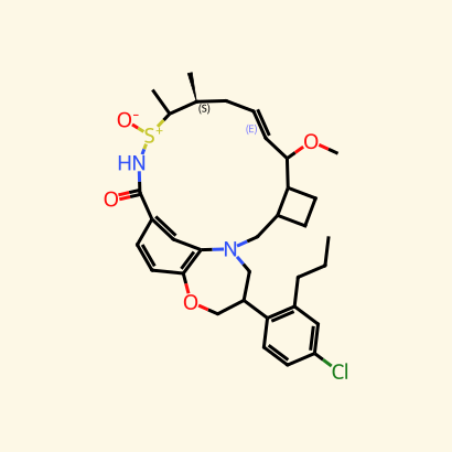 CCCc1cc(Cl)ccc1C1COc2ccc3cc2N(C1)CC1CCC1C(OC)/C=C/C[C@H](C)C(C)[S+]([O-])NC3=O